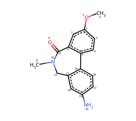 COc1ccc2c(c1)C(=O)N(C)Cc1cc(N)ccc1-2